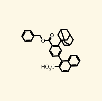 O=C(OCc1ccccc1)c1ccc(-c2c(C(=O)O)ccc3ccccc23)cc1C12CC3CC(CC(C3)C1)C2